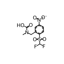 CN(Cc1cc([N+](=O)[O-])ccc1S(=O)(=O)C(F)F)C(=O)O